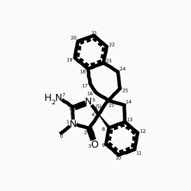 CN1C(=O)[C@@]2(N=C1N)c1ccccc1CC21CCc2ccccc2CC1